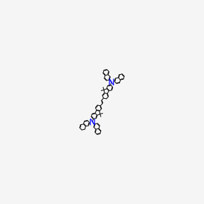 CC1(C)C2=CC(/C=C/c3ccc4c(c3)C(C)(C)c3cc(N(c5ccc6c(c5)CCC=C6)c5ccc6ccccc6c5)ccc3-4)CC=C2c2ccc(N(c3ccc4ccccc4c3)c3ccc4ccccc4c3)cc21